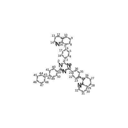 CN1C(c2ccc(-c3cccc4cccnc34)cc2)=NC(c2ccc(-c3cccc4cccnc34)cc2)=NC1c1ccc(-c2ccccc2)cc1